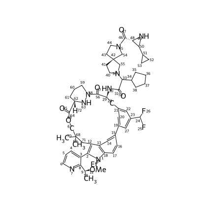 CCn1c(-c2cccnc2[C@H](C)OC)c2c3cc(ccc31)-c1cc(cc(C(F)F)c1)C[C@H](NC(=O)C(C1CCCC1)N1CC[C@]3(CCN(C(=O)[C@@H]4NC4C4CC4)C3)C1)C(=O)N1CCC[C@H](N1)C(=O)OCC(C)(C)C2